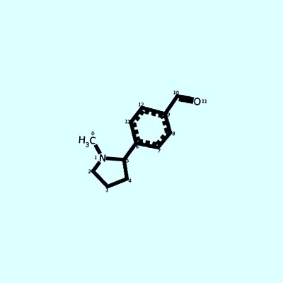 CN1CCCC1c1ccc(C=O)cc1